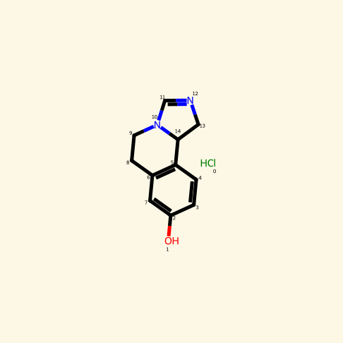 Cl.Oc1ccc2c(c1)CCN1C=NCC21